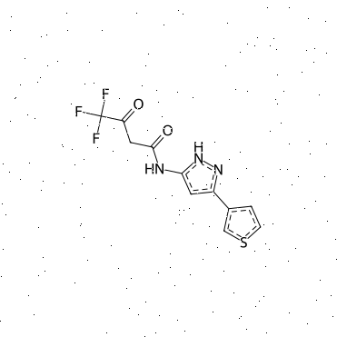 O=C(CC(=O)C(F)(F)F)Nc1cc(-c2ccsc2)n[nH]1